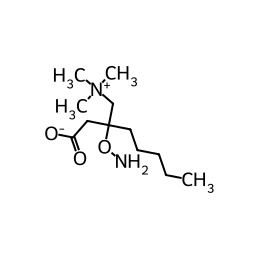 CCCCCC(CC(=O)[O-])(C[N+](C)(C)C)ON